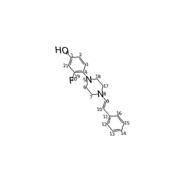 Oc1ccc(N2CCN(C=Cc3ccccc3)CC2)c(F)c1